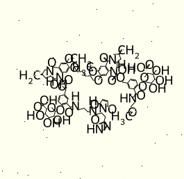 C=C1C[C@H]2C(O)N(C(=O)OCc3ccc(O[C@@H]4O[C@H](C(=O)O)[C@@H](O)[C@H](O)[C@H]4O)c(C(=O)NCCCNC(=O)C(Cc4c[nH]cn4)N4C(=O)C=CC4=O)c3)c3cc(OCCCCCOc4cc5c(cc4OC)C(=O)N4CC(=C)C[C@H]4C(O)N5C(=O)OCc4ccc(O[C@@H]5O[C@H](C(=O)O)[C@@H](O)[C@H](O)[C@H]5O)c(C(=O)NCCOC)c4)c(OC)cc3C(=O)N2C1